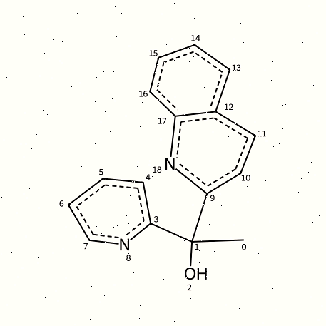 CC(O)(c1ccccn1)c1ccc2ccccc2n1